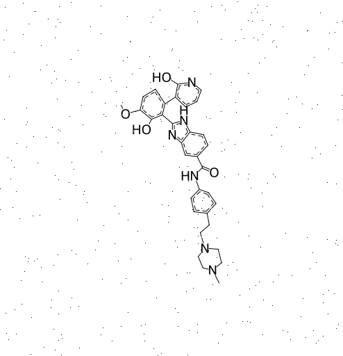 COc1ccc(-c2cccnc2O)c(-c2nc3cc(C(=O)Nc4ccc(CCN5CCN(C)CC5)cc4)ccc3[nH]2)c1O